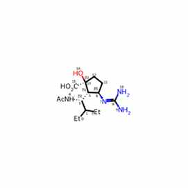 CCC(CC)[C@H](NC(C)=O)[C@H]1[C@H](N=C(N)N)CC[C@@]1(O)C(=O)O